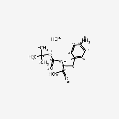 CC(C)(C)OC(=O)NC(Cc1ccc(N)cc1)C(=O)O.Cl